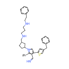 CC(C)c1c(C=N)c(-c2cc(Cc3ccccc3)cs2)cn1C1CCC(CNCCCNCCc2ccccc2)C1